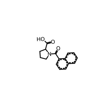 O=C(O)C1CCCN1C(=O)c1cccc2ccccc12